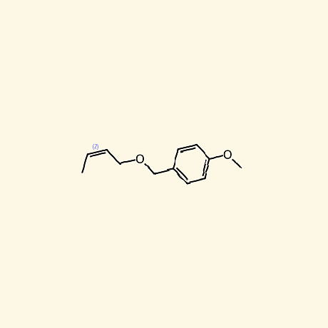 C/C=C\COCc1ccc(OC)cc1